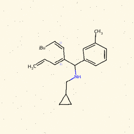 C=C/C=C(\C=C/C(C)CC)C(NCC1CC1)c1cccc(C)c1